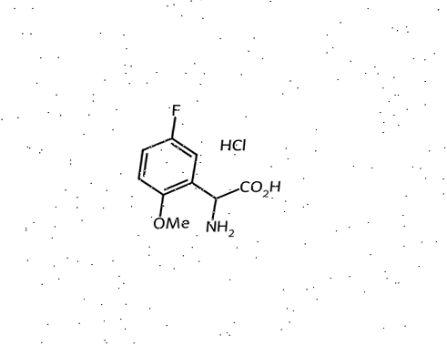 COc1ccc(F)cc1C(N)C(=O)O.Cl